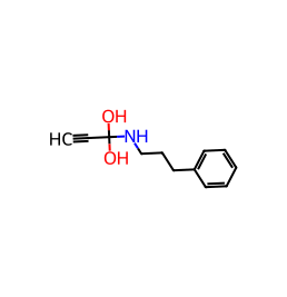 C#CC(O)(O)NCCCc1ccccc1